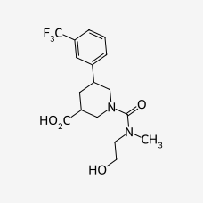 CN(CCO)C(=O)N1CC(C(=O)O)CC(c2cccc(C(F)(F)F)c2)C1